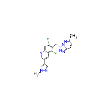 Cc1ccc2nnc(Cc3c(F)cc4ncc(-c5cnn(C)c5)cc4c3F)n2n1